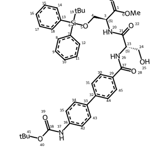 COC(=O)[C@H](CO[Si](c1ccccc1)(c1ccccc1)C(C)(C)C)NC(=O)[C@H](CO)NC(=O)c1ccc(-c2ccc(NC(=O)OC(C)(C)C)cc2)cc1